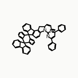 C=C/C=C\C1Cc2c(ccc3c2-c2ccccc2C32c3ccccc3C3(c4ccccc4-c4ccccc43)c3ccccc32)N1c1nc(-c2ccccc2)cc(-c2ccccc2)n1